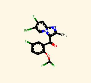 Cc1nc2cc(F)c(Br)cn2c1C(=O)c1cc(F)ccc1OC(F)F